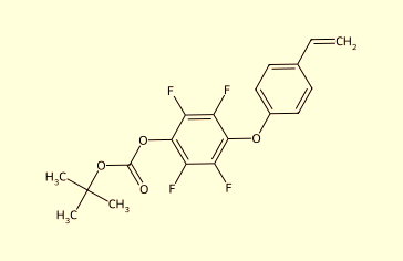 C=Cc1ccc(Oc2c(F)c(F)c(OC(=O)OC(C)(C)C)c(F)c2F)cc1